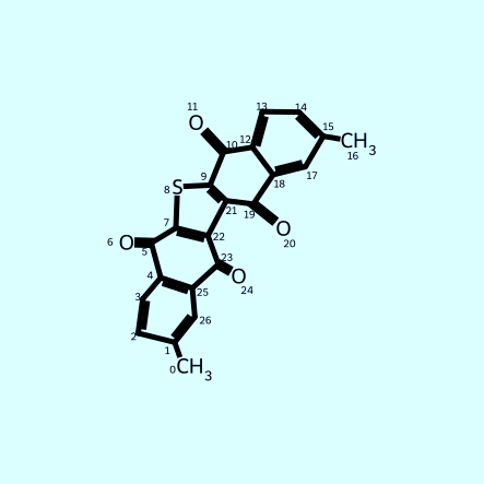 Cc1ccc2c(=O)c3sc4c(=O)c5ccc(C)cc5c(=O)c4c3c(=O)c2c1